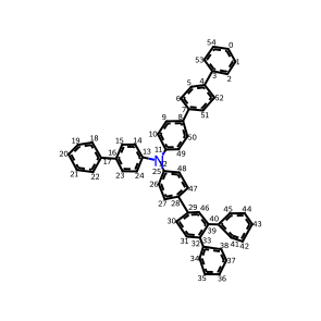 c1ccc(-c2ccc(-c3ccc(N(c4ccc(-c5ccccc5)cc4)c4ccc(-c5ccc(-c6ccccc6)c(-c6ccccc6)c5)cc4)cc3)cc2)cc1